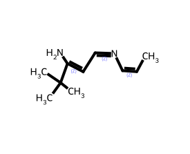 C\C=C/N=C\C=C(/N)C(C)(C)C